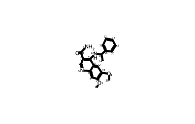 COc1cc2ncc(C(N)=O)c(NC(C)c3ccccc3)c2cc1OC